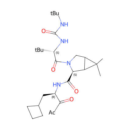 CC(=O)C(=O)[C@@H](CC1CCC1)NC(=O)[C@@H]1C2C(CN1C(=O)[C@@H](NC(=O)NC(C)(C)C)C(C)(C)C)C2(C)C